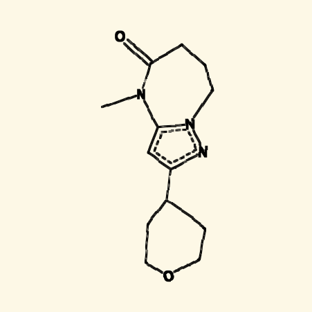 CN1C(=O)CCCn2nc(C3CCOCC3)cc21